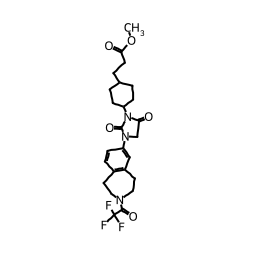 COC(=O)CCC1CCC(N2C(=O)CN(c3ccc4c(c3)CCN(C(=O)C(F)(F)F)CC4)C2=O)CC1